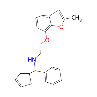 Cc1cc2cccc(OCCNC(c3ccccc3)C3CC=CC3)c2o1